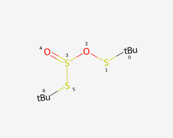 CC(C)(C)SOS(=O)SC(C)(C)C